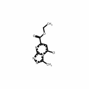 CCOC(=O)c1cc(Cl)n2c(C)nnc2n1